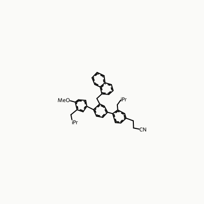 COc1ccc(-c2ccc(-c3ccc(CCC#N)cc3CC(C)C)cc2Cc2cccc3ccccc23)cc1CC(C)C